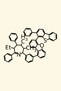 CCC1C(c2ccccc2)=NC(c2cccc(-c3cccc4oc5c(-c6c(-c7ccccc7)ccc7c6sc6ccccc67)cccc5c34)c2)C(C)C(C)C1c1ccccc1